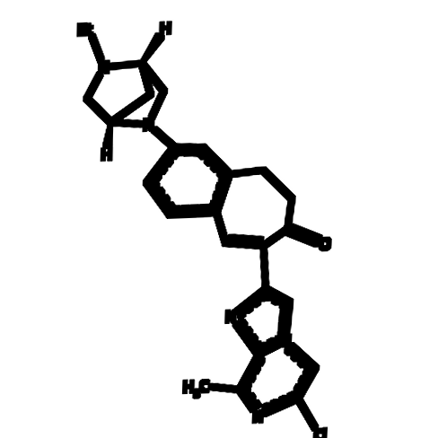 CCN1C[C@@H]2C[C@H]1CN2c1ccc2c(c1)CCC(=O)C(c1cn3cc(Cl)nc(C)c3n1)=C2